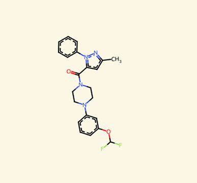 Cc1cc(C(=O)N2CCN(c3cccc(OC(F)F)c3)CC2)n(-c2ccccc2)n1